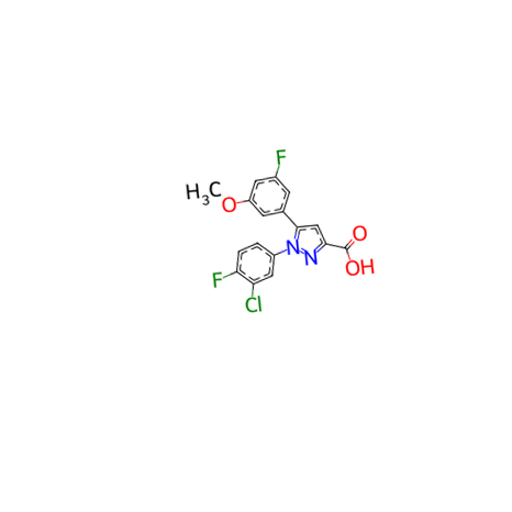 COc1cc(F)cc(-c2cc(C(=O)O)nn2-c2ccc(F)c(Cl)c2)c1